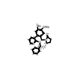 CCOC(=O)[C@H]1CCC(=O)N1Cc1cc(OC)c(C(C)(C)C)cc1-c1cccnc1OCc1ccccc1